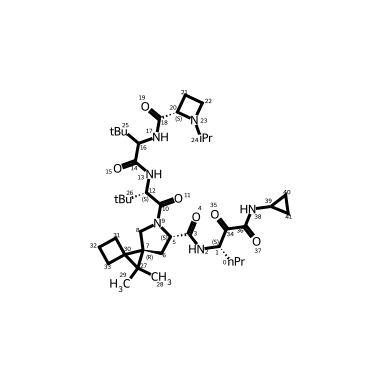 CCC[C@H](NC(=O)[C@@H]1C[C@@]2(CN1C(=O)[C@@H](NC(=O)C(NC(=O)[C@@H]1CCN1C(C)C)C(C)(C)C)C(C)(C)C)C(C)(C)C21CCC1)C(=O)C(=O)NC1CC1